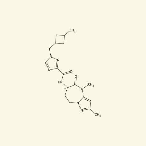 Cc1cc2n(n1)CC[C@H](NC(=O)c1ncn(CC3CC(C)C3)n1)C(=O)N2C